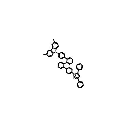 Cc1ccc2c(c1)c1cc(C)ccc1n2-c1ccc(-c2ccccc2-c2ccccc2-c2ccc(-n3nc(-c4ccccc4)cc3-c3ccccc3)cc2)cc1